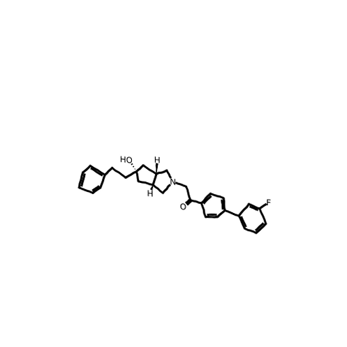 O=C(CN1C[C@@H]2C[C@@](O)(CCc3ccccc3)C[C@@H]2C1)c1ccc(-c2cccc(F)c2)cc1